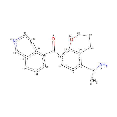 C[C@@H](N)c1ccc(C(=O)c2cccc3cnccc23)c2c1CCCO2